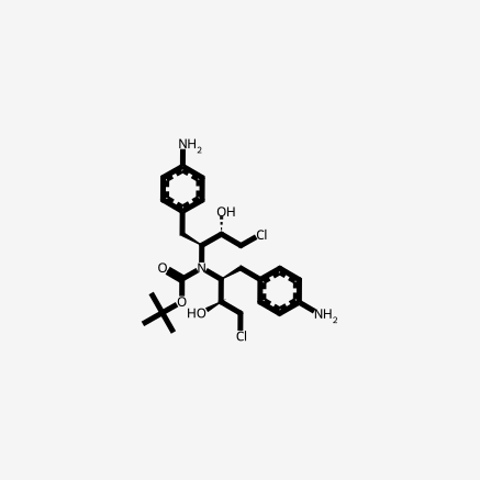 CC(C)(C)OC(=O)N([C@@H](Cc1ccc(N)cc1)[C@H](O)CCl)[C@@H](Cc1ccc(N)cc1)[C@H](O)CCl